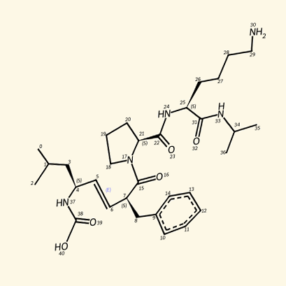 CC(C)C[C@@H](/C=C/[C@H](Cc1ccccc1)C(=O)N1CCC[C@H]1C(=O)N[C@@H](CCCCN)C(=O)NC(C)C)NC(=O)O